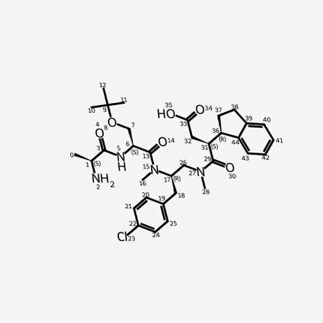 C[C@H](N)C(=O)N[C@@H](COC(C)(C)C)C(=O)N(C)[C@H](Cc1ccc(Cl)cc1)CN(C)C(=O)[C@@H](CC(=O)O)[C@H]1CCc2ccccc21